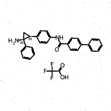 N[C@@]1(c2ccccc2)C[C@H]1c1ccc(NC(=O)c2ccc(-c3ccccc3)cc2)cc1.O=C(O)C(F)(F)F